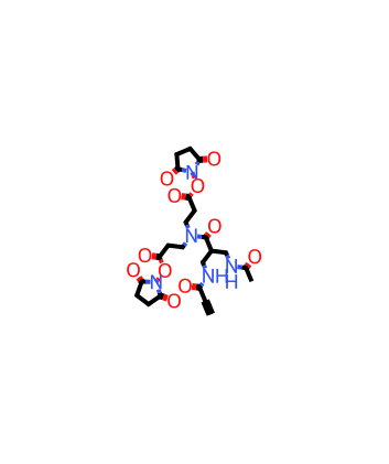 C#CC(=O)NCC(CNC(C)=O)C(=O)N(CCC(=O)ON1C(=O)CCC1=O)CCC(=O)ON1C(=O)CCC1=O